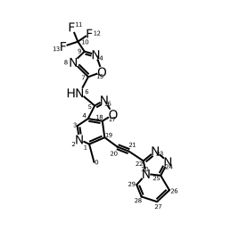 Cc1ncc2c(Nc3nc(C(F)(F)F)no3)noc2c1C#Cc1nnc2ccccn12